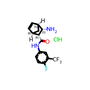 Cl.N[C@@H]1[C@H](C(=O)Nc2ccc(F)c(C(F)(F)F)c2)[C@H]2C=C[C@@H]1C2